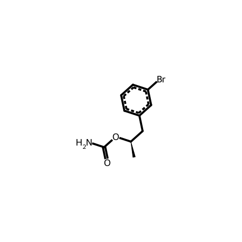 C[C@H](Cc1cccc(Br)c1)OC(N)=O